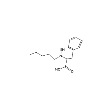 CCCCCN(S)C(Cc1ccccc1)C(=O)O